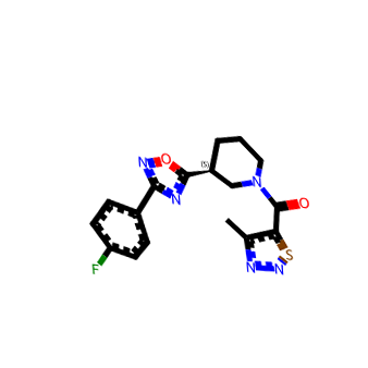 Cc1nnsc1C(=O)N1CCC[C@H](c2nc(-c3ccc(F)cc3)no2)C1